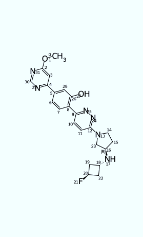 COc1cc(-c2ccc(-c3ccc(N4CC[C@@H](N[C@H]5C[C@H](F)C5)C4)nn3)c(O)c2)ncn1